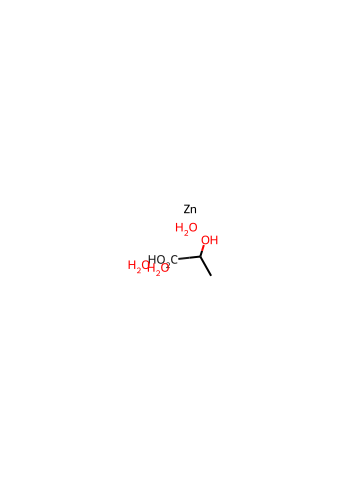 CC(O)C(=O)O.O.O.O.[Zn]